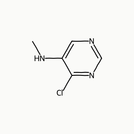 CNc1cncnc1Cl